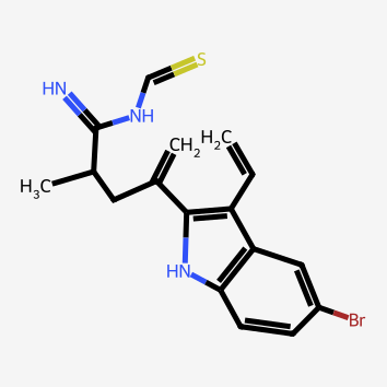 C=Cc1c(C(=C)CC(C)C(=N)NC=S)[nH]c2ccc(Br)cc12